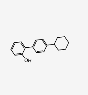 Oc1ccccc1-c1ccc(C2CCCCC2)cc1